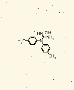 Cc1ccc(N(C(=N)N)c2ccc(C)cc2)cc1.Cl